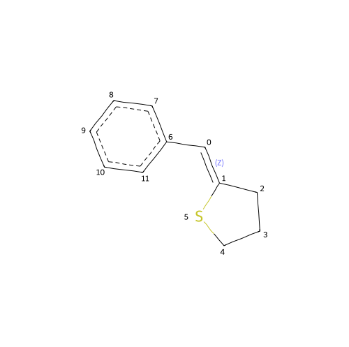 C(=C1\CCCS1)/c1ccccc1